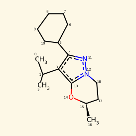 CC(C)c1c(C2CCCCC2)nn2c1O[C@H](C)CC2